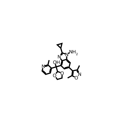 Cc1ncccc1C(O)(c1cc(-c2c(C)noc2C)cc2c1nc(C1CC1)n2N)C1OCCO1